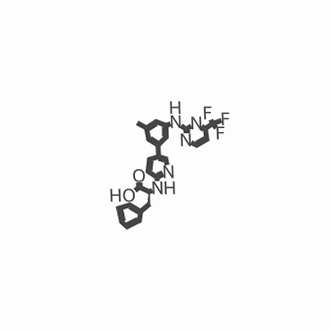 Cc1cc(Nc2nccc(C(F)(F)F)n2)cc(-c2ccc(N[C@@H](Cc3ccccc3)C(=O)O)nc2)c1